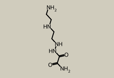 NCCNCCNNC(=O)C(N)=O